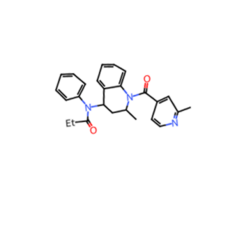 CCC(=O)N(c1ccccc1)C1CC(C)N(C(=O)c2ccnc(C)c2)c2ccccc21